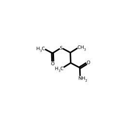 CC(=O)SC(C)C(C)C(N)=O